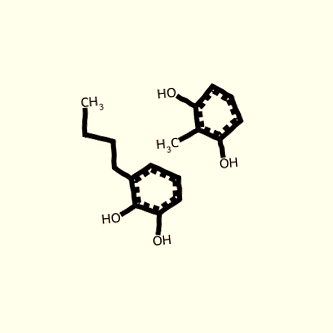 CCCCc1cccc(O)c1O.Cc1c(O)cccc1O